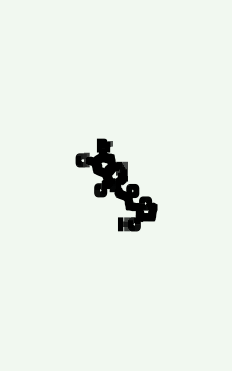 O=C(CC1OCCC1O)Cn1cnc2cc(Br)c(Cl)cc2c1=O